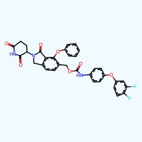 O=C1CCC(N2Cc3ccc(COC(=O)Nc4ccc(Oc5ccc(F)c(F)c5)cc4)c(Oc4ccccc4)c3C2=O)C(=O)N1